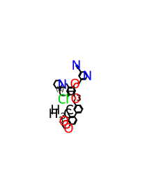 Cc1c(COc2cc(OCc3cncc(C#N)c3)c(CN3CCCC[C@H]3C)cc2Cl)cccc1-c1ccc2c(c1C)OCCO2